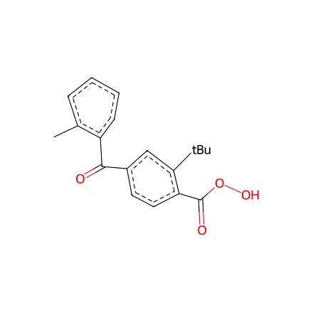 Cc1ccccc1C(=O)c1ccc(C(=O)OO)c(C(C)(C)C)c1